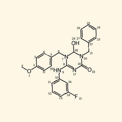 COc1ccc(CN2C(Nc3cccc(F)c3)=NC(=O)N(Cc3ccccc3)C2O)cc1